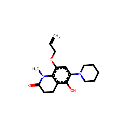 C=CCOc1cc(N2CCCCC2)c(O)c2c1N(C)C(=O)CC2